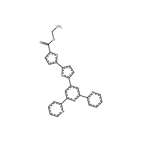 CCOC(=O)c1ccc(-c2ccc(-c3cc(-c4ccccn4)nc(-c4ccccn4)c3)s2)s1